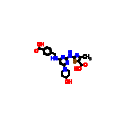 Cc1nc(Nc2nc(NCc3ccc(C(=O)O)cc3)cc(N3CCC(O)CC3)n2)sc1C(=O)O